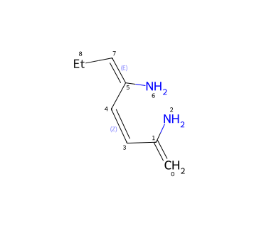 C=C(N)/C=C\C(N)=C/CC